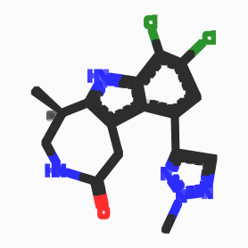 C[C@@H]1CNC(=O)Cc2c1[nH]c1c(Cl)c(Cl)cc(-c3cnn(C)n3)c21